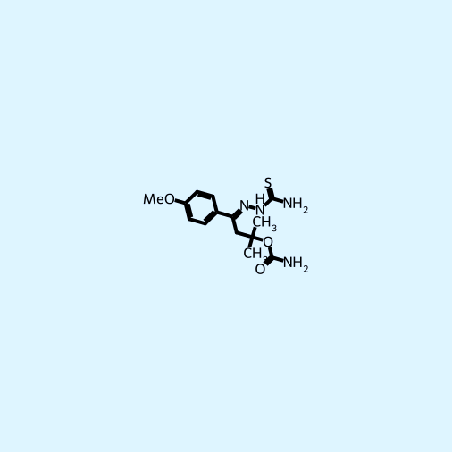 COc1ccc(C(CC(C)(C)OC(N)=O)=NNC(N)=S)cc1